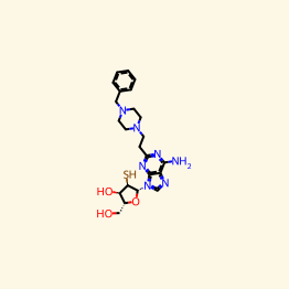 Nc1nc(CCN2CCN(Cc3ccccc3)CC2)nc2c1ncn2[C@@H]1O[C@H](CO)[C@@H](O)[C@H]1S